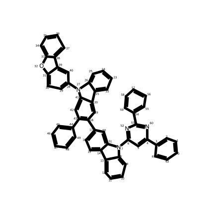 c1ccc(-c2cc(-n3c4ccccc4c4ccc(-c5cc6c7ccccc7n(-c7ccc8oc9ccccc9c8c7)c6cc5-c5ccccc5)cc43)nc(-c3ccccc3)n2)cc1